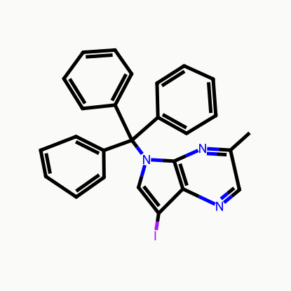 Cc1cnc2c(I)cn(C(c3ccccc3)(c3ccccc3)c3ccccc3)c2n1